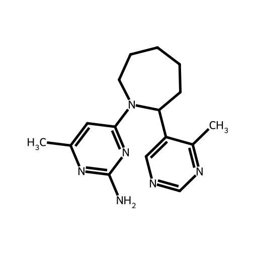 Cc1cc(N2CCCCCC2c2cncnc2C)nc(N)n1